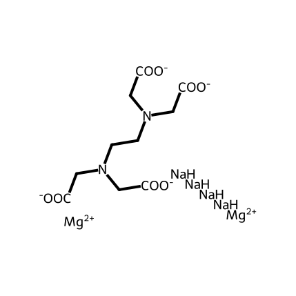 O=C([O-])CN(CCN(CC(=O)[O-])CC(=O)[O-])CC(=O)[O-].[Mg+2].[Mg+2].[NaH].[NaH].[NaH].[NaH]